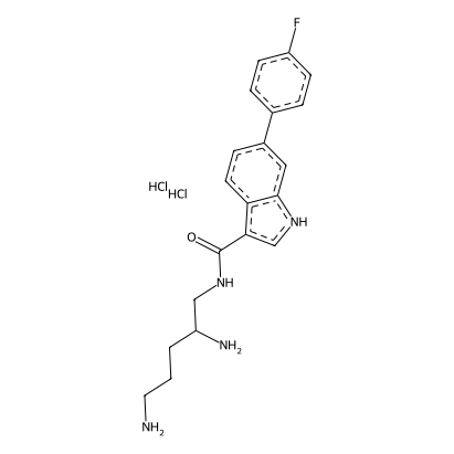 Cl.Cl.NCCCC(N)CNC(=O)c1c[nH]c2cc(-c3ccc(F)cc3)ccc12